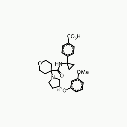 COc1cccc(O[C@@H]2CCN(C3(C(=O)NC4(c5ccc(C(=O)O)cc5)CC4)CCOCC3)C2)c1